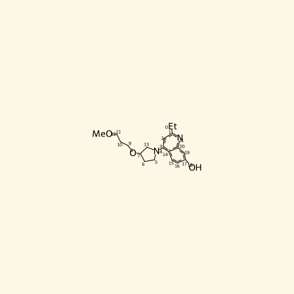 CCc1cc(N2CCC(OCCCOC)C2)c2ccc(O)cc2n1